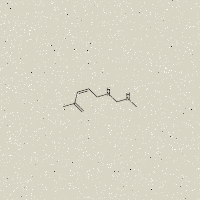 C=C(C)/C=C\CNCNC